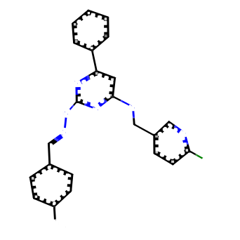 Cc1ccc(C=NNc2nc(NCc3ccc(Cl)nc3)cc(-c3ccccc3)n2)cc1